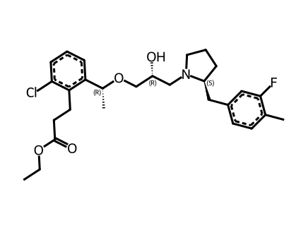 CCOC(=O)CCc1c(Cl)cccc1[C@@H](C)OC[C@H](O)CN1CCC[C@H]1Cc1ccc(C)c(F)c1